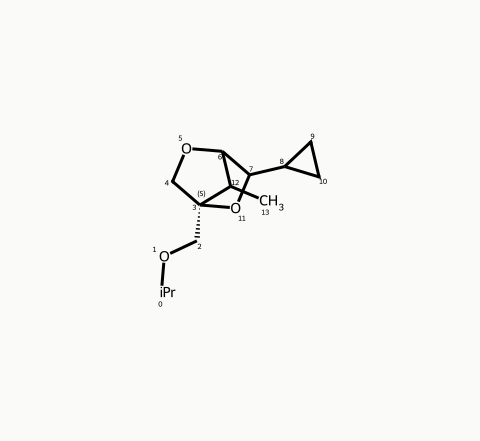 CC(C)OC[C@@]12COC(C(C3CC3)O1)C2C